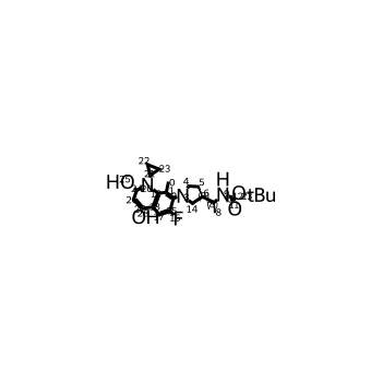 Cc1c(N2CC[C@@H]([C@H](C)NC(=O)OC(C)(C)C)C2)c(F)cc2c1N(C1CC1)C(O)C=C2O